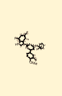 COc1ccc(-c2cc(N[C@@H]3SC4CCC3CC4)nc(-c3c[nH]c4c(F)cc(F)cc34)n2)cc1F